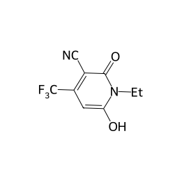 CCn1c(O)cc(C(F)(F)F)c(C#N)c1=O